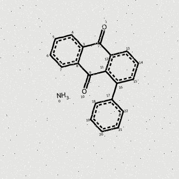 N.O=C1c2ccccc2C(=O)c2c1cccc2-c1ccccc1